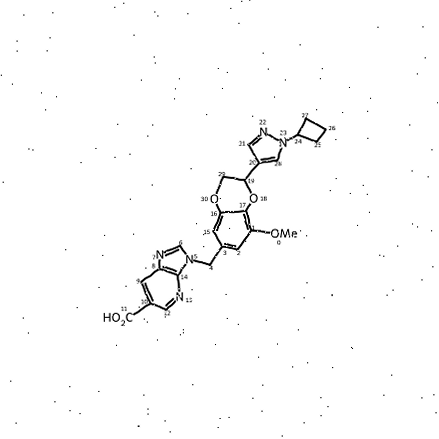 COc1cc(Cn2cnc3cc(C(=O)O)cnc32)cc2c1OC(c1cnn(C3CCC3)c1)CO2